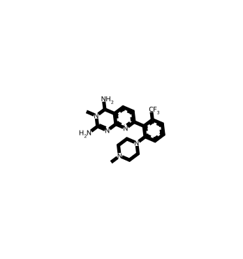 CN1CCN(c2cccc(C(F)(F)F)c2-c2ccc3c(n2)N=C(N)N(C)C3N)CC1